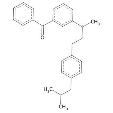 C[C](CCc1ccc(CC(C)C)cc1)c1cccc(C(=O)c2ccccc2)c1